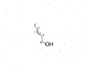 C/C=C/C[CH]O